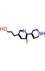 OCCCc1cnc(C2=CCNCC2)c(F)c1